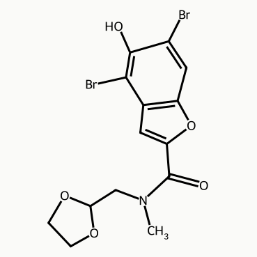 CN(CC1OCCO1)C(=O)c1cc2c(Br)c(O)c(Br)cc2o1